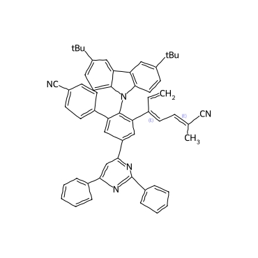 C=C/C(=C\C=C(/C)C#N)c1cc(-c2cc(-c3ccccc3)nc(-c3ccccc3)n2)cc(-c2ccc(C#N)cc2)c1-n1c2ccc(C(C)(C)C)cc2c2cc(C(C)(C)C)ccc21